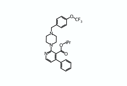 CC(C)OC(=O)c1c(-c2ccccc2)ccnc1N1CCN(Cc2ccc(OC(F)(F)F)cc2)CC1